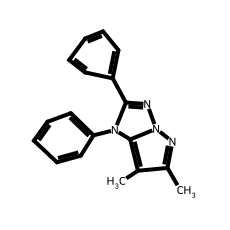 Cc1nn2nc(-c3ccccc3)n(-c3ccccc3)c2c1C